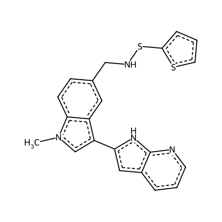 Cn1cc(-c2cc3cccnc3[nH]2)c2cc(CNSc3cccs3)ccc21